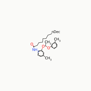 CCCCCCCCCCCCCCCCCC(N)=O.Cc1cccc(OC(C)Oc2cccc(C)c2)c1